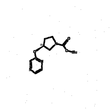 CC(C)(C)OC(=O)N1CC[C@H](Oc2cnccn2)C1